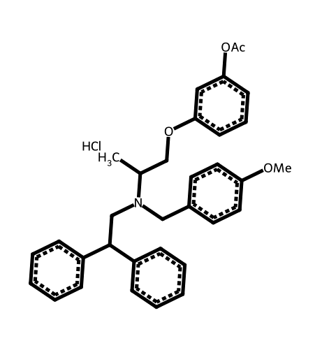 COc1ccc(CN(CC(c2ccccc2)c2ccccc2)C(C)COc2cccc(OC(C)=O)c2)cc1.Cl